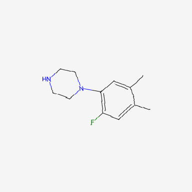 Cc1cc(F)c(N2CCNCC2)cc1C